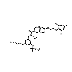 CCOC(=O)C(C)(C)Oc1cc(CCCOC)cc(CN(C(=O)C(CN)Cc2ccc(OCCOc3c(Cl)cc(C)cc3Cl)cc2)C2CC2)c1